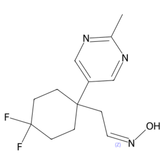 Cc1ncc(C2(C/C=N\O)CCC(F)(F)CC2)cn1